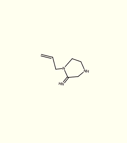 C=CCN1CCNCC1=N